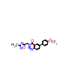 Cc1noc(Cn2nnc3ccc(-c4ccc(OC(F)(F)F)cc4)cc3c2=O)n1